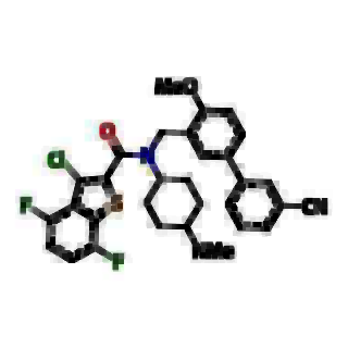 CNC1CCC(N(Cc2cc(-c3cccc(C#N)c3)ccc2OC)C(=O)c2sc3c(F)ccc(F)c3c2Cl)CC1